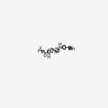 O=C(c1c[n+]2c([nH]1)CN(c1nccc(Nc3ccc(-c4cn[nH]c4)cc3)n1)CC2)N1CC(F)(F)C1